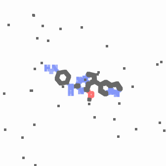 COc1nc(N[C@H]2CC[C@@H](N)CC2)nn2ccc(-c3ccn4nccc4c3)c12